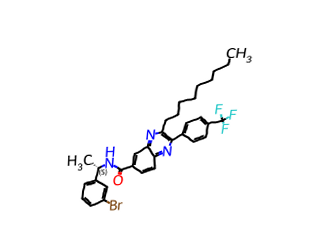 CCCCCCCCCc1nc2cc(C(=O)N[C@@H](C)c3cccc(Br)c3)ccc2nc1-c1ccc(C(F)(F)F)cc1